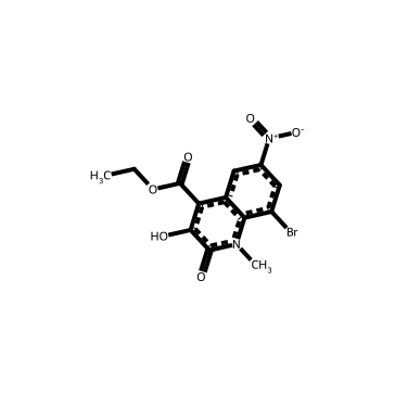 CCOC(=O)c1c(O)c(=O)n(C)c2c(Br)cc([N+](=O)[O-])cc12